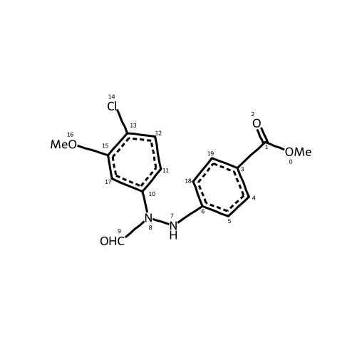 COC(=O)c1ccc(NN(C=O)c2ccc(Cl)c(OC)c2)cc1